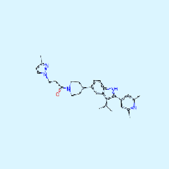 Cc1cc(-c2[nH]c3ccc(C4CCN(C(=O)CCn5ccc(C)n5)CC4)cc3c2C(C)C)cc(C)n1